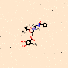 Cc1cc(O)c(O)cc1C(=O)OC[C@H](CNC(C)(C)CNC(=O)C1CCCC1)OC(=O)C1(C)CC1